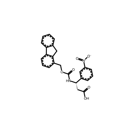 O=C(O)C[C@H](NC(=O)OCc1cccc2c1Cc1ccccc1-2)c1cccc([N+](=O)[O-])c1